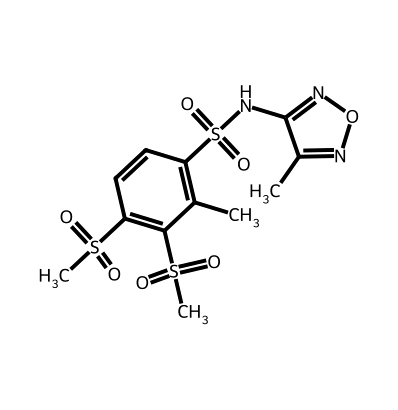 Cc1nonc1NS(=O)(=O)c1ccc(S(C)(=O)=O)c(S(C)(=O)=O)c1C